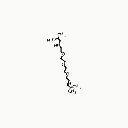 CC(C)CNCCOCCOCCOCCC[SH](C)C